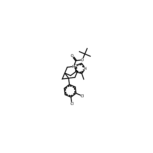 Cc1ncoc1CC12CN(C(=O)OC(C)(C)C)CCC1(c1ccc(Cl)c(Cl)c1)C2